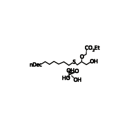 CCCCCCCCCCCCCCCCSCC(CO)OCC(=O)OCC.O=P(O)(O)O